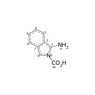 Nc1c2ccccc2cn1C(=O)O